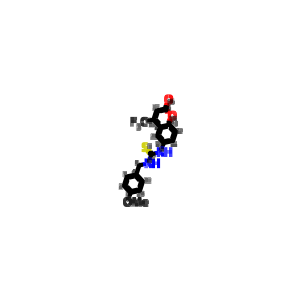 COc1ccc(CNC(=S)Nc2ccc3oc(=O)cc(C(F)(F)F)c3c2)cc1